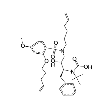 C=CCCCCN(C[C@@H](O)[C@H](Cc1ccccc1)N(C(=O)O)C(C)(C)C)S(=O)(=O)c1ccc(OC)cc1OCCCC=C